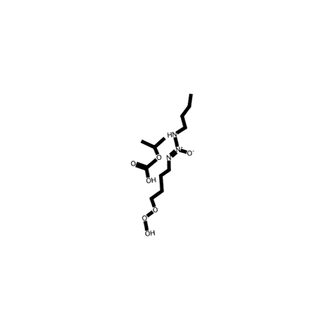 CC(C)OC(=O)O.CCCCN[N+]([O-])=NCCCCOOO